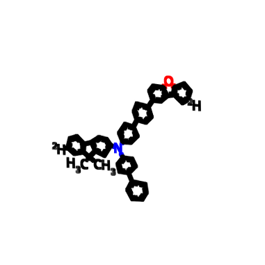 [2H]c1ccc2c(c1)C(C)(C)c1cc(N(c3ccc(-c4ccccc4)cc3)c3ccc(-c4ccc(-c5ccc6oc7ccc([2H])cc7c6c5)cc4)cc3)ccc1-2